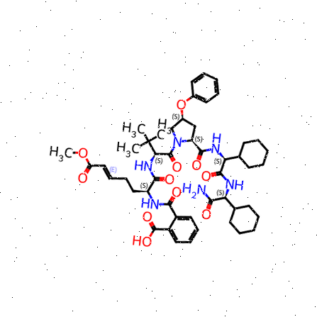 COC(=O)/C=C/CC[C@H](NC(=O)c1ccccc1C(=O)O)C(=O)N[C@H](C(=O)N1C[C@@H](Oc2ccccc2)C[C@H]1C(=O)N[C@H](C(=O)N[C@H](C(N)=O)C1CCCCC1)C1CCCCC1)C(C)(C)C